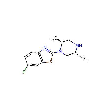 C[C@@H]1CN(c2nc3ccc(F)cc3s2)[C@@H](C)CN1